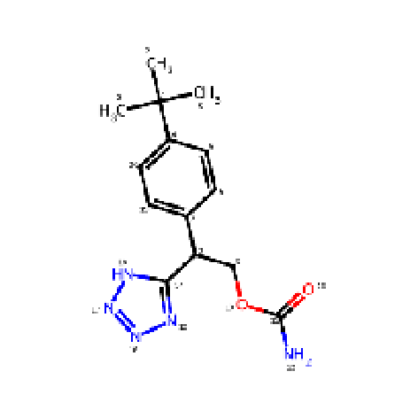 CC(C)(C)c1ccc(C(COC(N)=O)c2nnn[nH]2)cc1